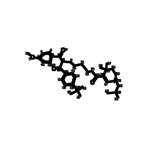 COc1ccc(C(=O)C(CCCCCC(=O)C2=CN(CC(C)C)CCC2(C)C)C(=O)c2ccc(C(C)(C)C)cc2)cc1